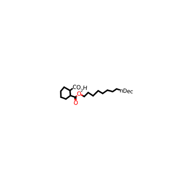 CCCCCCCCCCCCCCCCCCOC(=O)C1CCCCC1C(=O)O